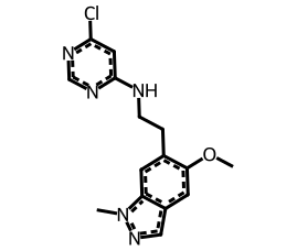 COc1cc2cnn(C)c2cc1CCNc1cc(Cl)ncn1